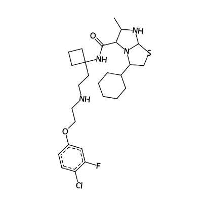 CC1NC2SCC(C3CCCCC3)N2C1C(=O)NC1(CCNCCOc2ccc(Cl)c(F)c2)CCC1